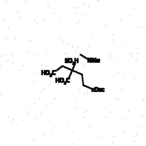 CCCCCCCCCCCCC(CC(=O)O)(C(=O)O)S(=O)(=O)O.CNC